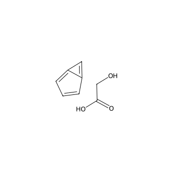 O=C(O)CO.c1cc2cc-2c1